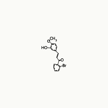 COc1ccc(/C=C/C(=O)c2ccccc2Br)cc1O